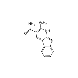 NC(=O)c1cc2c3ccccc3nc-2[nH]c1[AsH2]